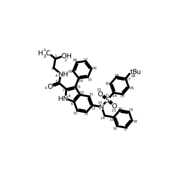 CC(O)CNC(=O)c1[nH]c2ccc(N(Cc3ccccc3)S(=O)(=O)c3ccc(C(C)(C)C)cc3)cc2c1-c1ccccc1